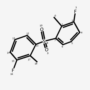 Cc1c(F)cccc1S(=O)(=O)c1cccc(F)c1C